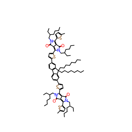 CCCCCCCCC1(CCCCCCCC)c2cc(-c3ccc(C4=C5C(=O)N(CC(CC)CCCC)C(c6ccc(C)s6)=C5C(=O)N4CC(CC)CCCC)s3)ccc2-c2ccc(-c3ccc(C4=C5C(=O)N(CC(CC)CCCC)C(c6ccc(C)s6)=C5C(=O)N4CC(CC)CCCC)s3)cc21